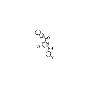 O=C(c1cc(Cl)cc(Nc2cccc(F)c2)n1)N1Cc2ccccc2C1